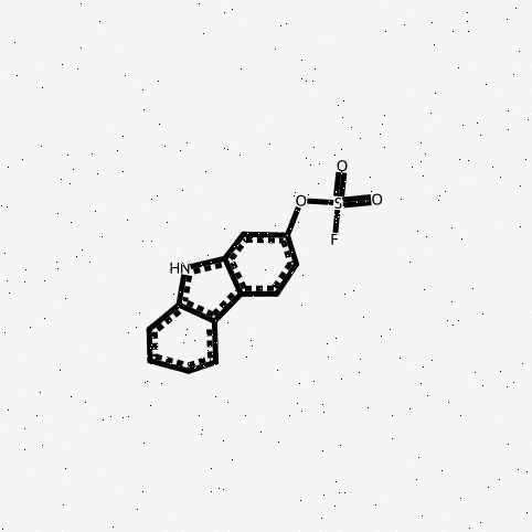 O=S(=O)(F)Oc1ccc2c(c1)[nH]c1ccccc12